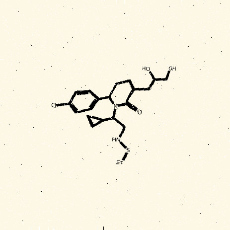 CCSNCC(C1CC1)N1C(=O)C(CC(O)CO)CCC1c1ccc(Cl)cc1